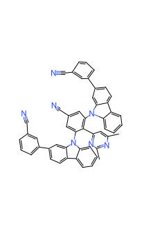 Cc1cc(-c2c(-n3c4ccccc4c4ccc(-c5cccc(C#N)c5)cc43)cc(C#N)cc2-n2c3ccccc3c3ccc(-c4cccc(C#N)c4)cc32)nc(C)n1